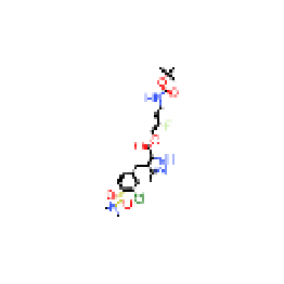 Cc1n[nH]c(C(=O)OC/C(F)=C/CNC(=O)OC(C)(C)C)c1Cc1ccc(S(=O)(=O)N(C)C)c(Cl)c1